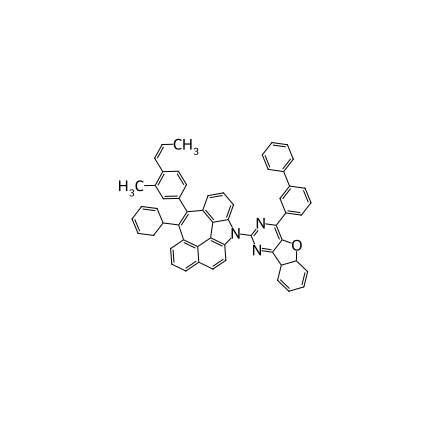 C/C=C\c1ccc(C2=C(C3C=CC=CC3)c3cccc4ccc5c(c34)c3c2cccc3n5-c2nc(-c3cccc(-c4ccccc4)c3)c3c(n2)C2C=CC=CC2O3)cc1C